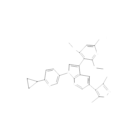 CCOc1cc(C(=O)O)nc(OCC)c1-c1cn(-c2ccc(C3CC3)nc2)c2ncc(-c3c(C)noc3C)cc12